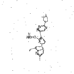 Cc1cn2cc(-c3ccc(-c4cnc(N5CCN(C)[C@H](C)C5)nn4)c(O)c3)cc(F)c2n1.Cl.Cl